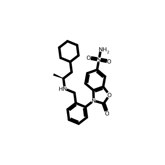 C[C@@H](CC1CCCCC1)NCc1ccccc1-n1c(=O)oc2cc(S(N)(=O)=O)ccc21